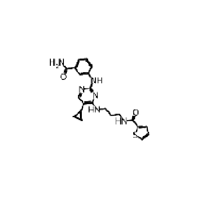 NC(=O)c1cccc(Nc2ncc(C3CC3)c(NCCCNC(=O)c3cccs3)n2)c1